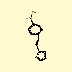 CCNc1ccc(/C=C/c2cccs2)cc1